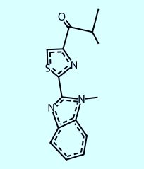 CC(C)C(=O)c1csc(-c2nc3ccccc3n2C)n1